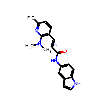 CN(C)c1nc(C(F)(F)F)ccc1/C=C/C(=O)Nc1ccc2[nH]ccc2c1